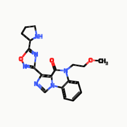 COCCn1c(=O)c2c(-c3noc(C4CCCN4)n3)ncn2c2ccccc21